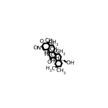 [C-]#[N+]C1=C[C@]2(C)[C@H]3CC(=O)[C@@H]4[C@@H]5CC(C)(C)CC[C@]5(CCO)CC[C@@]4(C)[C@]3(C)CC[C@H]2C(C)(C)C1=O